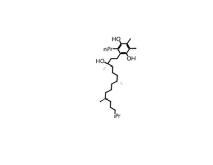 CCCc1c(O)c(C)c(C)c(O)c1CC[C@](C)(O)CCC[C@H](C)CCC[C@H](C)CCCC(C)C